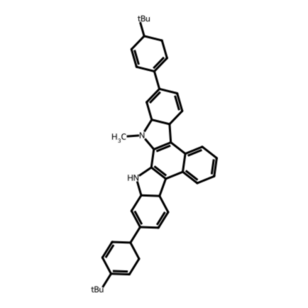 CN1c2c3c(c4ccccc4c2C2C=CC(C4=CCC(C(C)(C)C)C=C4)=CC21)C1C=CC(C2C=CC(C(C)(C)C)=CC2)=CC1N3